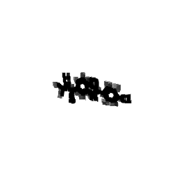 CC(C)NC(=S)c1ccc2oc(-c3ccc(Cl)cc3)nc2c1